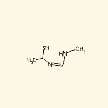 CN/C=N\C(C)S